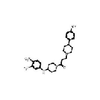 CCCc1ccc(C2CCN(CCC(=O)N3CCC(Nc4ccc([N+](=O)[O-])c(C(F)(F)F)c4)CC3)CC2)cc1